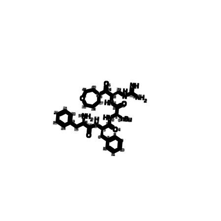 CCCC[C@@H](NC(=O)[C@@H](Cc1ccccc1)NC(=O)[C@H](N)Cc1ccccc1)C(=O)N[C@H](CNC(=N)N)C(=O)N1CCCOCC1